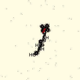 O=C(CNCCN1CCC(OC(=O)N(c2ccccc2-c2ccccc2)c2ccccc2-c2ccccc2)CC1)c1cccc(C(=O)NCCNCCc2ccc(O)cc2)c1